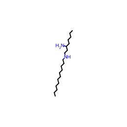 CCCCCCCCCCCCNCCC(N)CCCCC